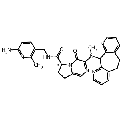 Cc1nc(N)ccc1CNC(=O)[C@@H]1CCc2cnc(N(C)C3c4ncccc4CCc4cccnc43)c(=O)n21